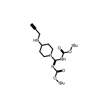 C#CCNC1CCN(/C(=N/C(=O)OC(C)(C)C)NC(=O)OC(C)(C)C)CC1